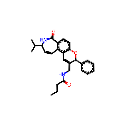 CCCC(=O)NCC1=Cc2c(ccc3c2C=CC(C(C)C)NC3=O)OC1c1ccccc1